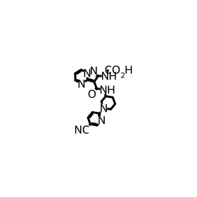 N#Cc1ccc(N2CCCC(NC(=O)c3c(NC(=O)O)nn4cccnc34)C2)nc1